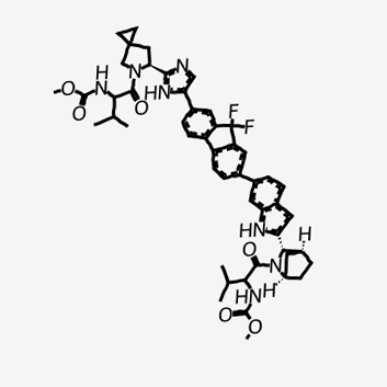 COC(=O)NC(C(=O)N1CC2(CC2)C[C@H]1c1ncc(-c2ccc3c(c2)C(F)(F)c2cc(-c4ccc5cc([C@@H]6[C@H]7CC[C@H](C7)N6C(=O)C(NC(=O)OC)C(C)C)[nH]c5c4)ccc2-3)[nH]1)C(C)C